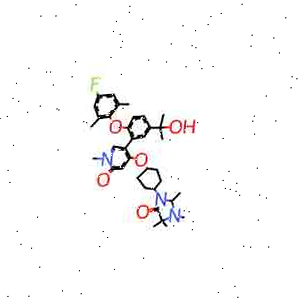 Cc1cc(F)cc(C)c1Oc1ccc(C(C)(C)O)cc1-c1cn(C)c(=O)cc1OC1CCC(N2C(=O)C(C)(C)N(C)C2C)CC1